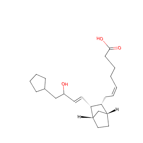 O=C(O)CCC/C=C\C[C@@H]1[C@@H]2CC[C@@H](C2)[C@@H]1/C=C/C(O)CC1CCCC1